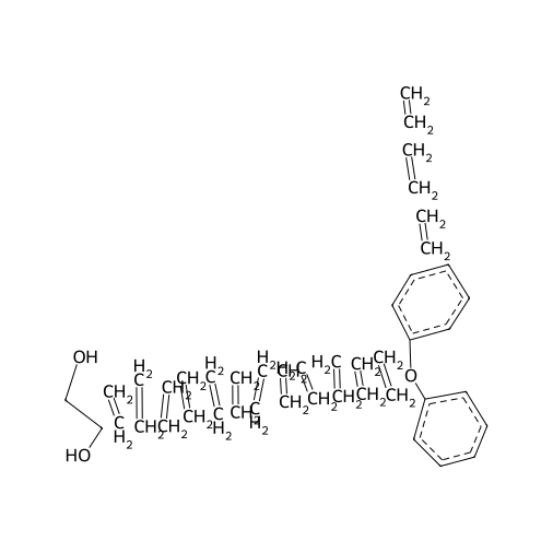 C=C.C=C.C=C.C=C.C=C.C=C.C=C.C=C.C=C.C=C.C=C.C=C.C=C.C=C.C=C.OCCO.c1ccc(Oc2ccccc2)cc1